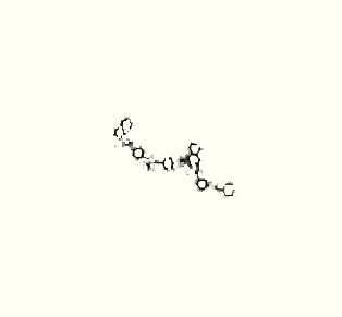 O=C(Nc1cc2ccccc2c(N=Nc2ccc(-c3nnc(-c4ccc(N=Nc5c(O)ccc6ccccc56)cc4)o3)cc2)c1O)c1cccc(OCC2CCCCC2)c1